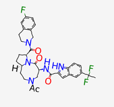 CC(=O)N1CC[C@H]2CC[C@@H](C(=O)N3CCc4cc(F)ccc4C3)N2C(=O)[C@@H](NC(=O)c2cc3cc(C(C)(F)F)ccc3[nH]2)C1